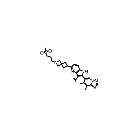 Cc1c(-c2[nH]c3ccc(C4CC5(C4)CN(CCCS(C)(=O)=O)C5)nc3c2C(C)C)cn2ncnc2c1C